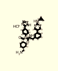 Cl.NC[C@H]1CC[C@H](C(=O)N(C(=O)[C@@H](N)Cc2cccc(-c3cnc(NC4CC4)nc3)c2)c2ccc(-c3nnn[nH]3)cc2)CC1